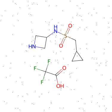 O=C(O)C(F)(F)F.O=S(=O)(CC1CC1)NC1CNC1